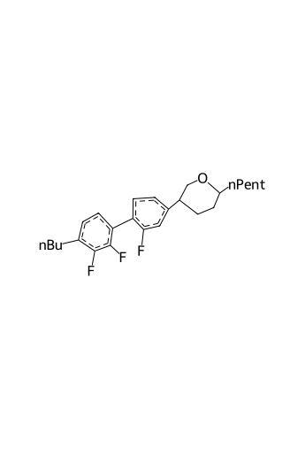 CCCCCC1CCC(c2ccc(-c3ccc(CCCC)c(F)c3F)c(F)c2)CO1